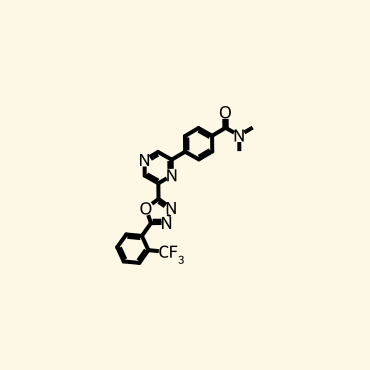 CN(C)C(=O)c1ccc(-c2cncc(-c3nnc(-c4ccccc4C(F)(F)F)o3)n2)cc1